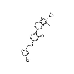 Cc1c(C2CC2)nc2ccc(-n3ccc(OCc4cc(Cl)cs4)cc3=O)cn12